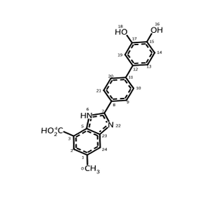 Cc1cc(C(=O)O)c2[nH]c(-c3ccc(-c4ccc(O)c(O)c4)cc3)nc2c1